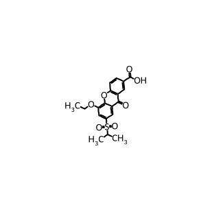 CCOc1cc(S(=O)(=O)C(C)C)cc2c(=O)c3cc(C(=O)O)ccc3oc12